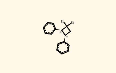 CCC1(CC)C[C@H](c2ccccc2)[C@@H]1c1ccccc1